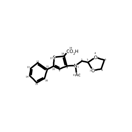 CC(=O)N(CC1OCCO1)c1cc(-c2ccccc2)sc1C(=O)O